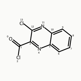 O=C(Cl)c1nc2ccccc2nc1Cl